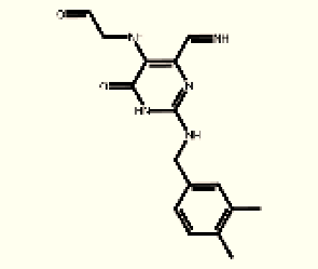 Cc1ccc(CNc2nc(C=N)c(NCC=O)c(=O)[nH]2)cc1C